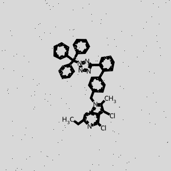 CCc1cc2c(c(Cl)n1)c(Cl)c(C)n2Cc1ccc(-c2ccccc2-c2nnn(C(c3ccccc3)(c3ccccc3)c3ccccc3)n2)cc1